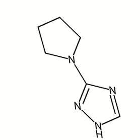 c1nc(N2CCCC2)n[nH]1